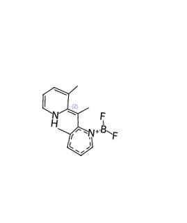 CC1=CC=CN/C1=C(/C)c1c(C)ccc[n+]1B(F)F